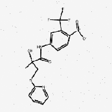 CC(O)(CSc1ccccn1)C(=O)Nc1ccc([N+](=O)[O-])c(C(F)(F)F)c1